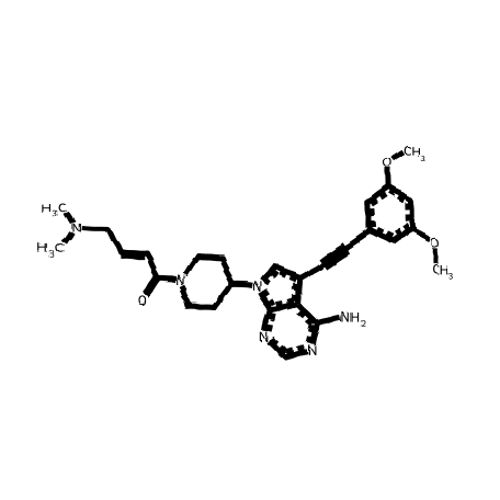 COc1cc(C#Cc2cn(C3CCN(C(=O)C=CCN(C)C)CC3)c3ncnc(N)c23)cc(OC)c1